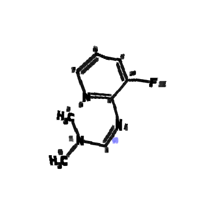 CN(C)/C=N\c1ncccc1F